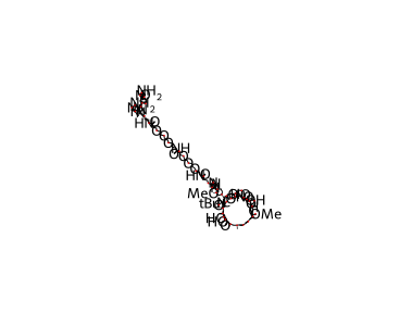 CO[C@H]1C[C@@H]2CC[C@@H](C)[C@@](O)(O2)C(=O)C(=O)N2CCCC[C@H]2C(=O)O[C@H]([C@H](C)C[C@@H]2CC[C@H](n3cc(CCCC(=O)NCCOCCOCCOCCC(=O)NCCOCCOCCOCCC(=O)NCCCCn4nc(-c5ccc6oc(N)nc6c5)c5c(N)ncnc54)nn3)[C@H](OC)C2)C/C(=N/OC(C)(C)C)[C@H](C)/C=C(\C)[C@@H](O)[C@@H](O)C(=O)[C@H](C)C[C@H](C)/C=C/C=C/C=C/1C